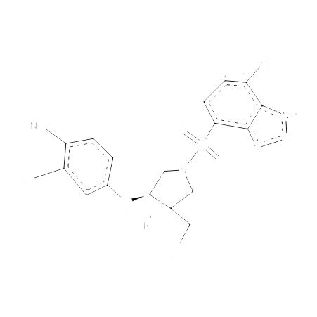 N#Cc1ccc(O[C@H]2CN(S(=O)(=O)c3ccc(Cl)c4nonc34)C[C@@]2(O)CO)cc1F